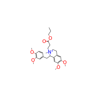 CCCOC(=O)CC[N+]1(C)CCc2cc(OC)c(OC)cc2C1Cc1ccc(OC)c(OC)c1